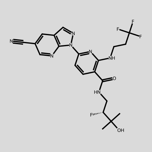 CC(C)(O)[C@H](F)CNC(=O)c1ccc(-n2ncc3cc(C#N)cnc32)nc1NCCC(F)(F)F